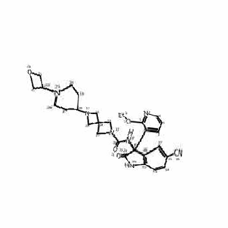 CCOc1ncccc1C1(NC(=O)N2CC3(C2)CN(C2CCN(C4COC4)CC2)C3)C(=O)Nc2ccc(C#N)cc21